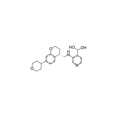 OC(O)c1ccncc1NC[C@H]1CCOc2cc(C3CCOCC3)ccc21